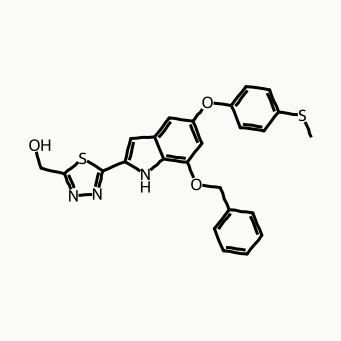 CSc1ccc(Oc2cc(OCc3ccccc3)c3[nH]c(-c4nnc(CO)s4)cc3c2)cc1